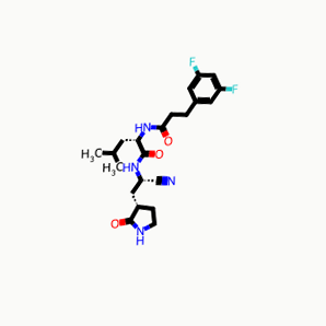 CC(C)C[C@H](NC(=O)CCc1cc(F)cc(F)c1)C(=O)N[C@H](C#N)C[C@@H]1CCNC1=O